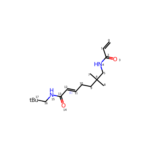 C=CC(=O)NCC(C)(C)CC/C=C/C(=O)NCC(C)(C)C